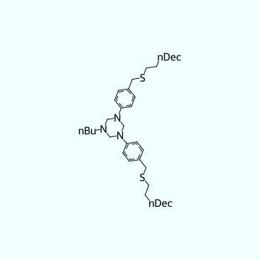 CCCCCCCCCCCCSCc1ccc(N2CN(CCCC)CN(c3ccc(CSCCCCCCCCCCCC)cc3)C2)cc1